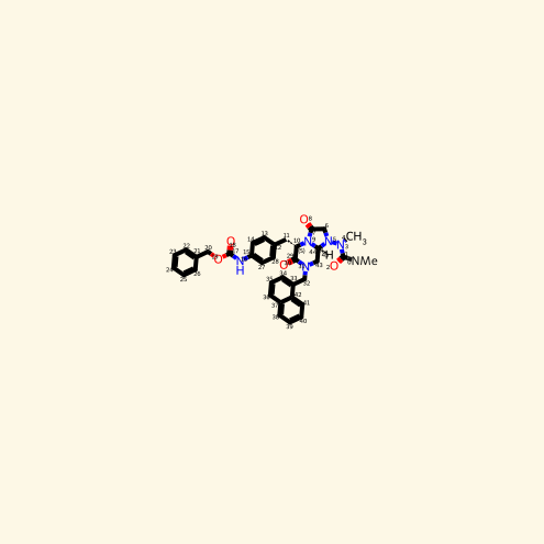 CNC(=O)N(C)N1CC(=O)N2[C@@H](Cc3ccc(NC(=O)OCc4ccccc4)cc3)C(=O)N(Cc3cccc4ccccc34)C[C@@H]21